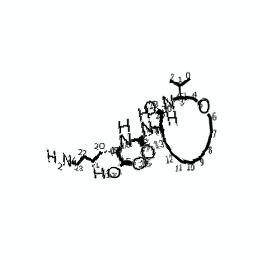 CC(C)[C@H]1COCCCCCCCC[C@@H](NC(=O)N[C@@H](CCCCN)C(=O)O)C(=O)N1